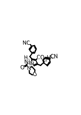 N#Cc1ccc(Cc2c[nH]c(Cc3cccc(C#N)c3)c2C(=O)O)cc1.NC(=O)N1CCOCC1